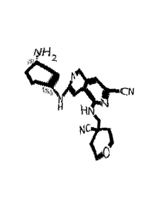 N#Cc1cc2cnc(N[C@H]3CC[C@H](N)C3)cc2c(NCC2(C#N)CCOCC2)n1